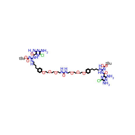 CC(C)(C)OC(=O)/N=C(\NCCCCc1ccc(OCCOCCOCCNC(=O)NCCOCCOCCOc2ccc(CCCCN/C(=N\C(=O)OC(C)(C)C)NC(=O)c3nc(Cl)c(N)nc3N)cc2)cc1)NC(=O)c1nc(Cl)c(N)nc1N